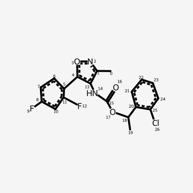 Cc1noc(-c2ccc(F)cc2F)c1NC(=O)OC(C)c1ccccc1Cl